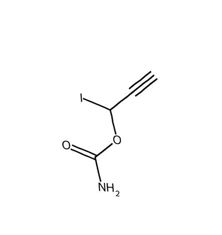 C#CC(I)OC(N)=O